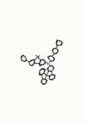 CC1(C)c2cc(-c3ccccc3)ccc2-c2ccc(N(c3ccc(-c4ccc(-c5ccccc5)cc4)cc3)c3ccc4c(c3)C3(c5ccccc5-c5ccccc53)c3ccccc3-4)cc21